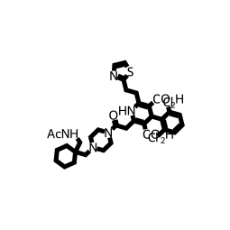 CC(=O)NCC1(CN2CCN(C(=O)CC3=C(C(=O)O)C(c4c(Cl)cccc4Cl)C(C(=O)O)=C(CCc4nccs4)N3)CC2)CCCCC1